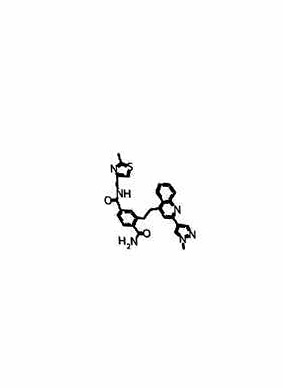 Cc1nc(CNC(=O)c2ccc(C(N)=O)c(CCc3cc(-c4cnn(C)c4)nc4ccccc34)c2)cs1